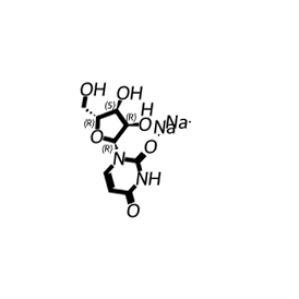 O=c1ccn([C@@H]2O[C@H](CO)[C@@H](O)[C@H]2O)c(=O)[nH]1.[Na].[Na]